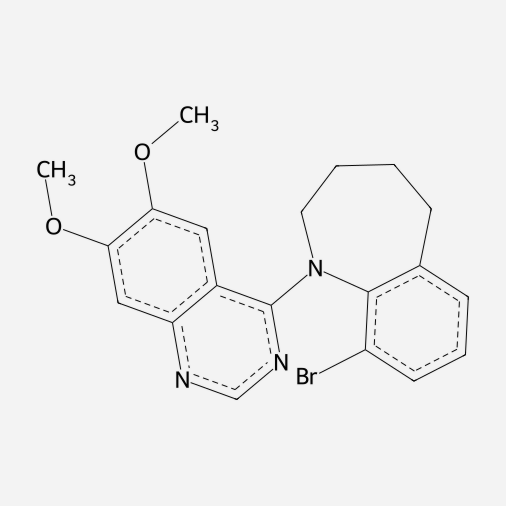 COc1cc2ncnc(N3CCCCc4cccc(Br)c43)c2cc1OC